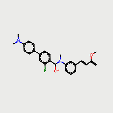 C=C(/C=C/c1cccc(N(C)C(O)c2ccc(-c3ccc(N(C)C)cc3)cc2F)c1)OC